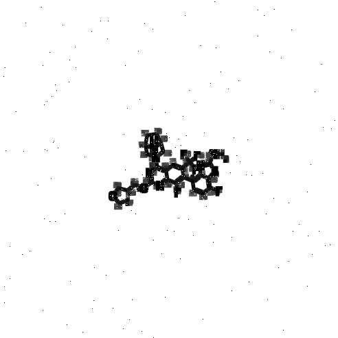 Nc1nc2c(-c3c(C(F)(F)F)cc4c(N5CC6CCC(C5)N6)nc(OCC5CCOC5)nc4c3F)ccc(F)c2s1